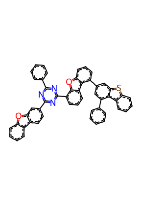 c1ccc(-c2nc(-c3ccc4c(c3)oc3ccccc34)nc(-c3cccc4c3oc3cccc(-c5cc(-c6ccccc6)c6c(c5)sc5ccccc56)c34)n2)cc1